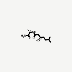 CC(C)CC[C@@H](O)CC(=O)N[C@@H](C)C(N)=O